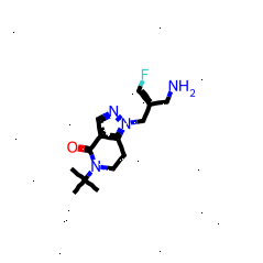 CC(C)(C)N1CCc2c(cnn2CC(=CF)CN)C1=O